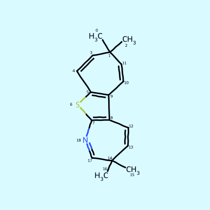 CC1(C)C=Cc2sc3c(c2C=C1)C=CC(C)(C)C=N3